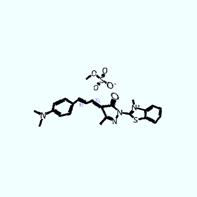 CC1=NN(c2sc3ccccc3[n+]2C)C(=O)/C1=C/C=C/c1ccc(N(C)C)cc1.COS(=O)(=O)[O-]